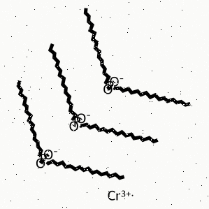 CCCCCCCCCCCCCCCCCCP(=O)([O-])CCCCCCCCCCCCCCCCCC.CCCCCCCCCCCCCCCCCCP(=O)([O-])CCCCCCCCCCCCCCCCCC.CCCCCCCCCCCCCCCCCCP(=O)([O-])CCCCCCCCCCCCCCCCCC.[Cr+3]